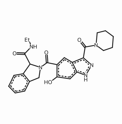 CCNC(=O)C1c2ccccc2CN1C(=O)c1cc2c(C(=O)N3CCCCC3)n[nH]c2cc1O